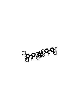 O=C(Oc1ccc(-c2cc(Cl)cc(Cl)c2)c(F)c1)C1(C2(C(=O)Oc3ccc(-c4ccc(F)c(Cl)c4)c(F)c3)CC2)CC1